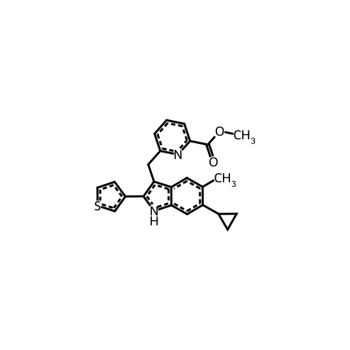 COC(=O)c1cccc(Cc2c(-c3ccsc3)[nH]c3cc(C4CC4)c(C)cc23)n1